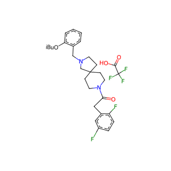 CC(C)COc1ccccc1CN1CCC2(CCN(C(=O)Cc3cc(F)ccc3F)CC2)C1.O=C(O)C(F)(F)F